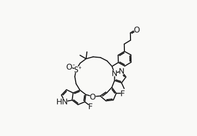 Cc1cnn2c1-c1cc(ccc1F)Oc1c(F)cc3[nH]ccc3c1CC[S+]([O-])CC(C)(C)CCCC2c1cccc(CCC=O)c1